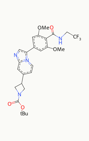 COc1cc(-c2cnc3cc(C4CN(C(=O)OC(C)(C)C)C4)ccn23)cc(OC)c1C(=O)NCC(F)(F)F